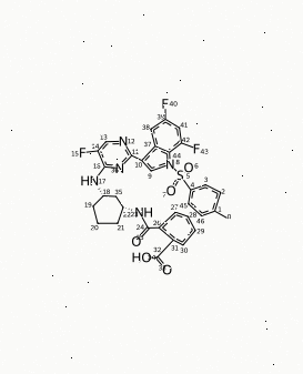 Cc1ccc(S(=O)(=O)n2cc(-c3ncc(F)c(N[C@H]4CCC[C@@H](NC(=O)c5ccccc5C(=O)O)C4)n3)c3cc(F)cc(F)c32)cc1